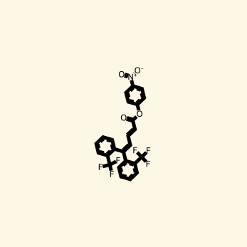 O=C(C=CC=C(c1ccccc1C(F)(F)F)c1ccccc1C(F)(F)F)Oc1ccc([N+](=O)[O-])cc1